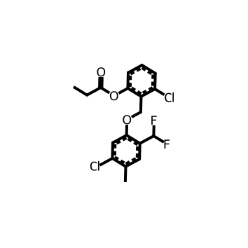 CCC(=O)Oc1cccc(Cl)c1COc1cc(Cl)c(C)cc1C(F)F